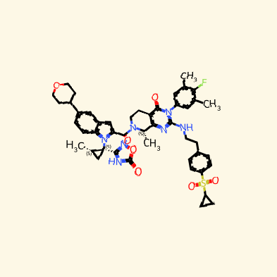 Cc1cc(-n2c(NCCc3ccc(S(=O)(=O)C4CC4)cc3)nc3c(c2=O)CCN(C(=O)c2cc4cc(C5CCOCC5)ccc4n2[C@@]2(c4noc(=O)[nH]4)C[C@@H]2C)[C@H]3C)cc(C)c1F